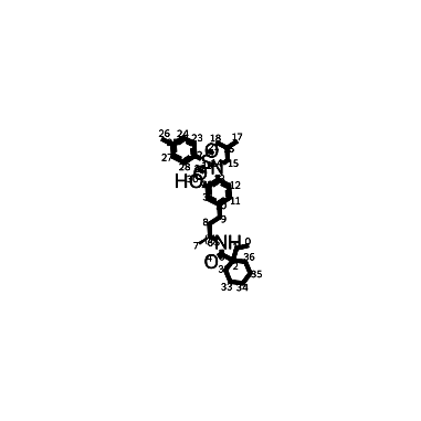 CCC1(C(=O)N[C@@H](C)CCc2ccc(N(CC(C)C)S(=O)(=O)c3ccc(C)cc3)c(O)c2)CCCCC1